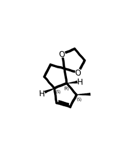 C[C@H]1C=C[C@@H]2CCC3(OCCO3)[C@@H]21